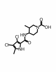 Cc1[nH]c(C(=O)NC2CCN(C(=O)O)CC2C)c(Cl)c1Cl